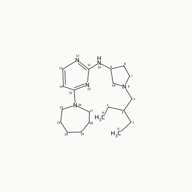 CCC(CC)CN1CCC(Nc2nccc(N3CCCCCC3)n2)C1